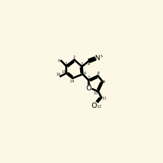 Cc1cc(C#N)c(-c2ccc(C=O)o2)cc1C